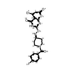 CCc1cc(=O)oc2nc(ON=C3CCN(C(=O)c4ccc(F)cc4)CC3)[nH]c(=O)c12